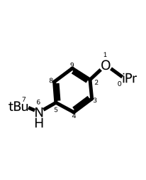 CC(C)Oc1ccc(NC(C)(C)C)cc1